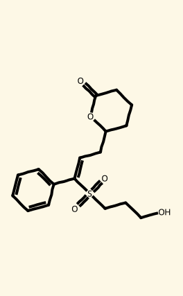 O=C1CCCC(CC=C(c2ccccc2)S(=O)(=O)CCCO)O1